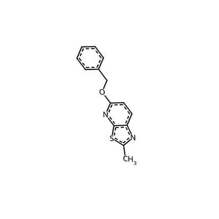 Cc1nc2ccc(OCc3ccccc3)nc2s1